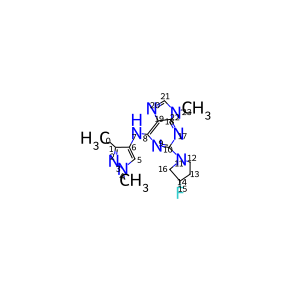 Cc1nn(C)cc1Nc1nc(N2CCC(F)C2)nc2c1ncn2C